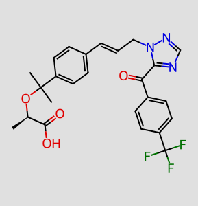 C[C@@H](OC(C)(C)c1ccc(/C=C/Cn2ncnc2C(=O)c2ccc(C(F)(F)F)cc2)cc1)C(=O)O